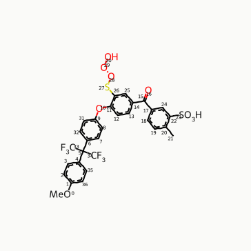 COc1ccc(C(c2ccc(Oc3ccc(C(=O)c4ccc(C)c(S(=O)(=O)O)c4)cc3SOOO)cc2)(C(F)(F)F)C(F)(F)F)cc1